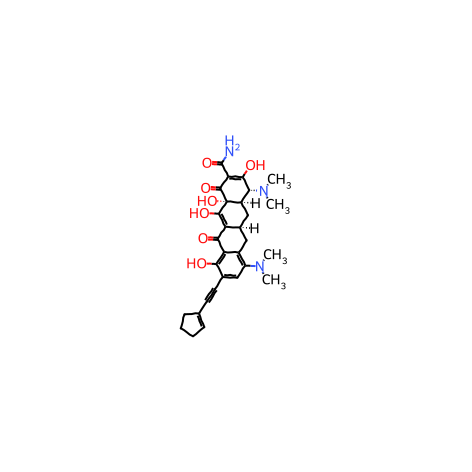 CN(C)c1cc(C#CC2=CCCC2)c(O)c2c1C[C@@H]1C[C@@H]3[C@@H](N(C)C)C(O)=C(C(N)=O)C(=O)[C@]3(O)C(O)=C1C2=O